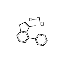 CC1=C[CH]c2cccc(-c3ccccc3)c21.[Cl][Ti][Cl]